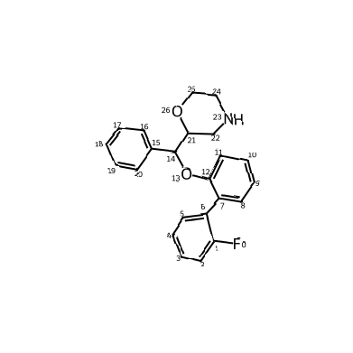 Fc1ccccc1-c1ccccc1OC(c1ccccc1)C1CNCCO1